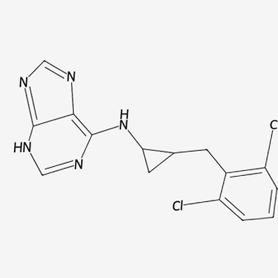 Clc1cccc(Cl)c1CC1CC1Nc1nc[nH]c2ncnc1-2